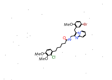 COc1ccc(Br)cc1Cc1c(C[N]C(=O)CCCCCc2ccc(OC)c(OC)c2Cl)nc2ccccn12